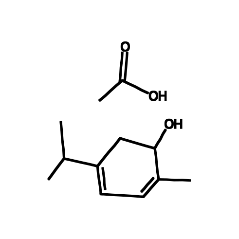 CC(=O)O.CC1=CC=C(C(C)C)CC1O